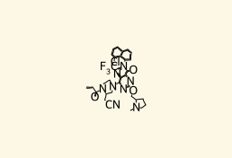 C=CC(=O)N1CCN(c2nc(OCC3CCCN3C)nc3c(=O)n(-c4cccc5cccc(Cl)c45)c(C(F)(F)F)nc23)CC1CC#N